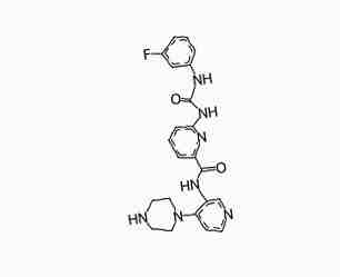 O=C(Nc1cccc(F)c1)Nc1cccc(C(=O)Nc2cnccc2N2CCNCC2)n1